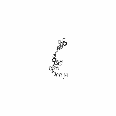 CC(CC(C)C(=O)NCC1CC(=O)Nc2cc(OCCCCN3CCN(c4cccc(Cl)c4Cl)CC3)ccc21)C(=O)O